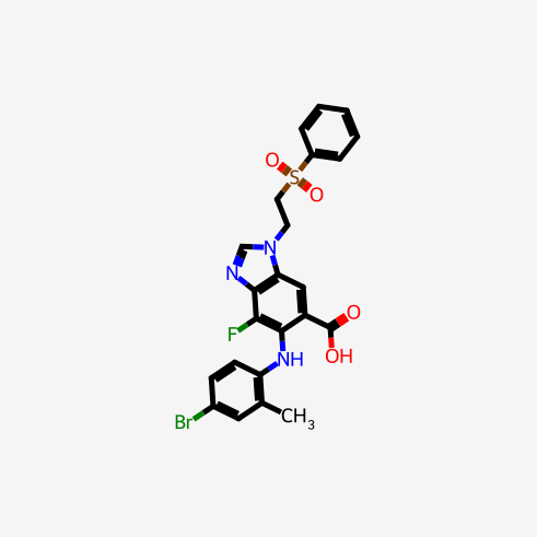 Cc1cc(Br)ccc1Nc1c(C(=O)O)cc2c(ncn2CCS(=O)(=O)c2ccccc2)c1F